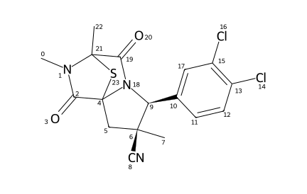 CN1C(=O)C23C[C@](C)(C#N)[C@H](c4ccc(Cl)c(Cl)c4)N2C(=O)C1(C)S3